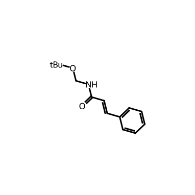 CC(C)(C)OCNC(=O)C=Cc1ccccc1